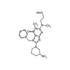 COCCN(C)c1nc2nc(N3CCCC(N)C3)n(Cc3ccccc3)c2c(=O)n1C